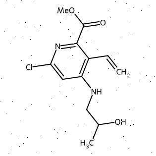 C=Cc1c(NCC(C)O)cc(Cl)nc1C(=O)OC